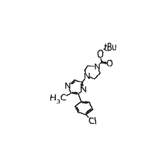 Cc1ncc(N2CCN(C(=O)OC(C)(C)C)CC2)nc1-c1ccc(Cl)cc1